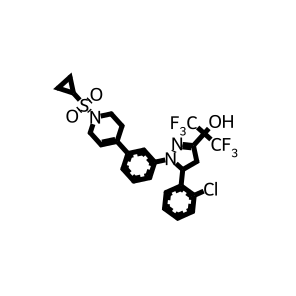 O=S(=O)(C1CC1)N1CC=C(c2cccc(N3N=C(C(O)(C(F)(F)F)C(F)(F)F)CC3c3ccccc3Cl)c2)CC1